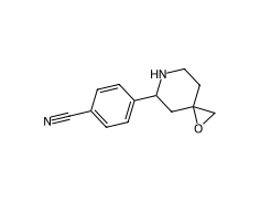 N#Cc1ccc(C2CC3(CCN2)CO3)cc1